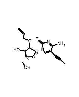 C=CCOC1C(O)[C@@H](CO)O[C@H]1n1cc(C#CC)c(N)nc1=O